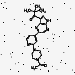 CC(=O)N1CCN(c2cc(-c3cnc4[nH]cc(C(=O)C(C)(C)C)c4n3)ccn2)CC1